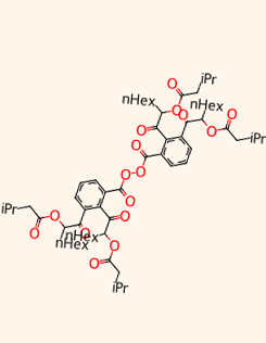 CCCCCCC(OC(=O)CC(C)C)C(=O)c1cccc(C(=O)OOC(=O)c2cccc(C(=O)C(CCCCCC)OC(=O)CC(C)C)c2C(=O)C(CCCCCC)OC(=O)CC(C)C)c1C(=O)C(CCCCCC)OC(=O)CC(C)C